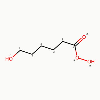 O=C(CCCCCO)OO